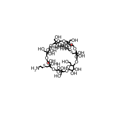 CCCCCCCC(=N)NCCSCC1OC2OC3C(CO)OC(OC4C(CO)OC(OC5C(CSCCN)OC(OC6C(CO)OC(OC7C(CO)OC(OC8C(CO)OC(OC1C(O)C2O)C(O)C8O)C(O)C7O)C(O)C6O)C(O)C5O)C(O)C4O)C(O)C3O